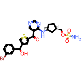 NS(=O)(=O)OC[C@@H]1CC[C@H](Nc2ncncc2C(=O)c2cc(C(O)c3cccc(Br)c3)cs2)C1